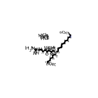 CCCCCCCC/C=C\CCCCCCCCN(CCCCCCCCCCCCCCCC)C(=O)C(N)C(N)C(=O)[C@H](N)CCCNC(=N)N.Cl.Cl.Cl